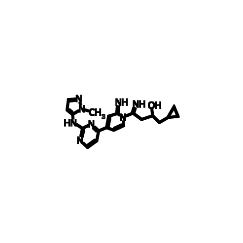 Cn1nccc1Nc1nccc(-c2ccn(C(=N)CC(O)CC3CC3)c(=N)c2)n1